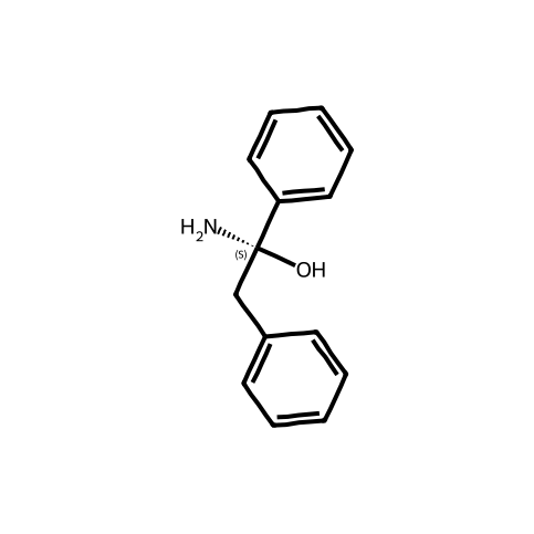 N[C@](O)(Cc1ccccc1)c1ccccc1